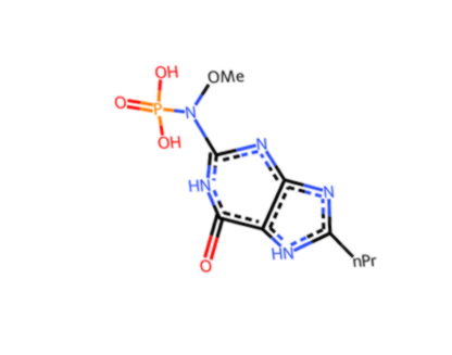 CCCc1nc2nc(N(OC)P(=O)(O)O)[nH]c(=O)c2[nH]1